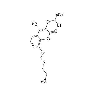 CCCCC(CC)Oc1c(O)c2cccc(OCCCCO)c2oc1=O